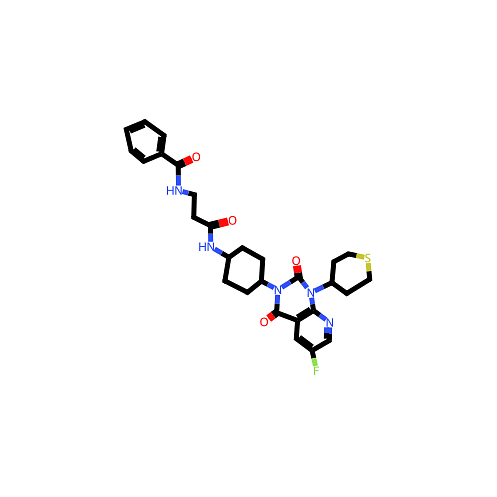 O=C(CCNC(=O)c1ccccc1)NC1CCC(n2c(=O)c3cc(F)cnc3n(C3CCSCC3)c2=O)CC1